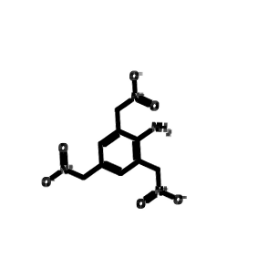 Nc1c(C[N+](=O)[O-])cc(C[N+](=O)[O-])cc1C[N+](=O)[O-]